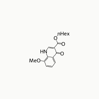 CCCCCCOC(=O)c1c[nH]c2c(OC)cccc2c1=O